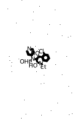 CCN1c2cccc(Cl)c2C(O)=C(N(C=O)c2ccncc2)C1O